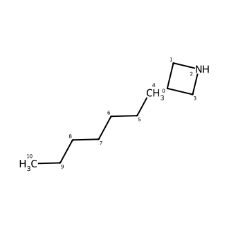 C1CNC1.CCCCCCC